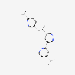 CC(C)c1ccnc(-c2cncc(C(C)Cc3ccc(C(C)C)nc3)c2)c1